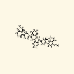 N#Cc1ccc2c3c(cccc13)Oc1cc(-c3cc4c5ccccc5c(-c5ccc(-c6cccc7cccnc67)cc5)cc4c4ccccc34)ccc1-2